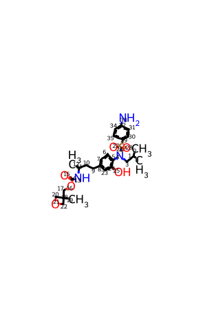 CC(C)CN(c1ccc(CCC(C)NC(=O)OCC2(C)COC2)cc1O)S(=O)(=O)c1ccc(N)cc1